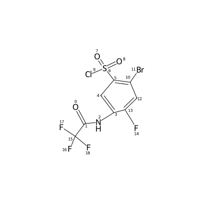 O=C(Nc1cc(S(=O)(=O)Cl)c(Br)cc1F)C(F)(F)F